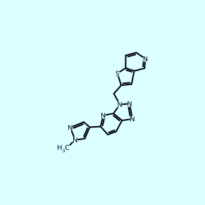 Cn1cc(-c2ccc3nnn(Cc4cc5cnccc5s4)c3n2)cn1